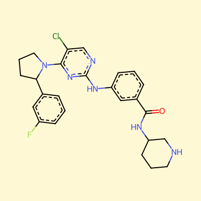 O=C(NC1CCCNC1)c1cccc(Nc2ncc(Cl)c(N3CCCC3c3cccc(F)c3)n2)c1